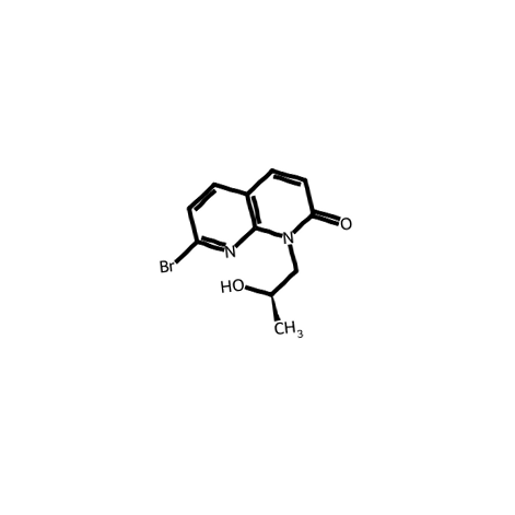 C[C@@H](O)Cn1c(=O)ccc2ccc(Br)nc21